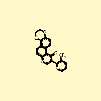 O=c1c(-c2ncccc2C(F)(F)F)coc2ccc3c4c(ccc3c12)OCCO4